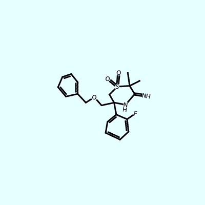 CC1(C)C(=N)NC(COCc2ccccc2)(c2ccccc2F)CS1(=O)=O